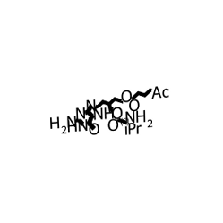 CC(=O)CCCC(=O)OCCC(COC(=O)[C@@H](N)C(C)C)Cc1nc2nc(N)[nH]c(=O)c2[nH]1